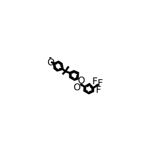 COc1ccc(C(C)(C)c2ccc(OC(=O)c3cccc(C(F)(F)F)c3)cc2)cc1